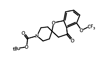 CC(C)(C)OC(=O)N1CCC2(CC1)CC(=O)c1c(OC(F)(F)F)cccc1O2